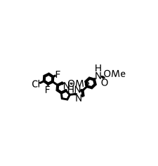 COC(=O)Nc1ccc(-c2cnc(C3CCc4cc(-c5c(F)ccc(Cl)c5F)c[n+](OC)c43)[nH]2)cc1